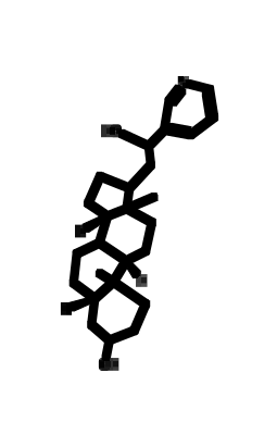 CC12CC[C@H]3C(CC[C@H]4CC(O)CCC43C)[C@@H]1CCC2CC(O)c1cccnc1